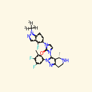 [2H]C([2H])([2H])n1ncc2c(F)c(-n3ccn(-c4c5c(nn4-c4cc(C)c(F)c(F)c4)CCN[C@H]5C)c3=O)ccc21